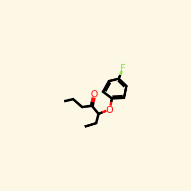 CCCC(=O)C(CC)Oc1ccc(F)cc1